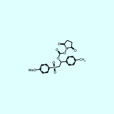 COc1ccc(S(=O)(=O)CC(OC(=O)ON2C(=O)CCC2=O)c2ccc(C)cc2)cc1